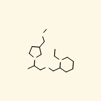 CCN1CCCCC1COCC(C)N1CCC(COC)C1